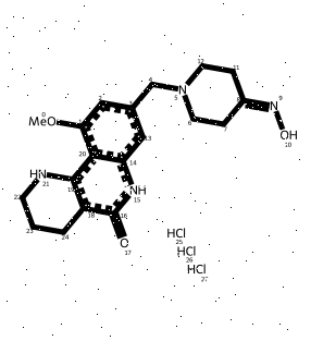 COc1cc(CN2CCC(=NO)CC2)cc2[nH]c(=O)c3c(c12)NCCC3.Cl.Cl.Cl